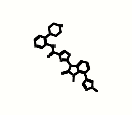 Cn1cc(-c2cccc3c2n(C)c(=O)n3-c2nc(C(=O)Nc3cnccc3N3CCNCC3)cs2)cn1